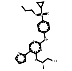 CCCN=S(=O)(c1ccc(Nc2ncc(-c3cccs3)c(N[C@H](C)CO)n2)cc1)C1CC1